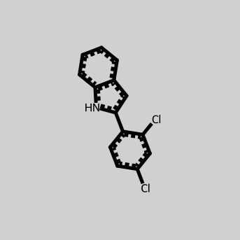 Clc1ccc(-c2cc3ccccc3[nH]2)c(Cl)c1